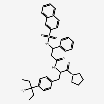 CCC(N)(CC)c1ccc(CC(NC(=O)CC(NS(=O)(=O)c2ccc3ccccc3c2)c2ccccc2)C(=O)N2CCCC2)cc1